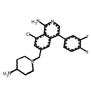 Nc1ncc(-c2ccc(F)c(F)c2)c2cc(CN3CCC(N)CC3)cc(Cl)c12